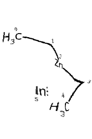 C[CH2][Zn][CH2]C.[In]